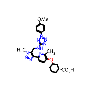 COc1ccc(-n2nnc(NCc3c(-c4ccc(O[C@H]5CCC[C@@H](C(=O)O)C5)c(C)n4)nnn3C)n2)cc1